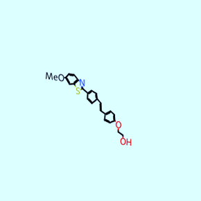 COc1ccc2nc(-c3ccc(C=Cc4ccc(OCCO)cc4)cc3)sc2c1